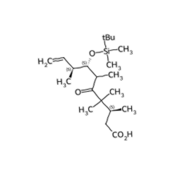 C=C[C@H](C)[C@H](O[Si](C)(C)C(C)(C)C)C(C)C(=O)C(C)(C)[C@@H](C)CC(=O)O